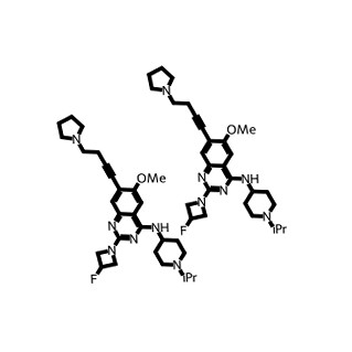 COc1cc2c(NC3CCN(C(C)C)CC3)nc(N3CC(F)C3)nc2cc1C#CCCN1CCCC1.COc1cc2c(NC3CCN(C(C)C)CC3)nc(N3CC(F)C3)nc2cc1C#CCCN1CCCC1